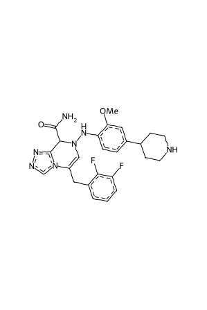 COc1cc(C2CCNCC2)ccc1NN1C=C(Cc2cccc(F)c2F)n2cnnc2C1C(N)=O